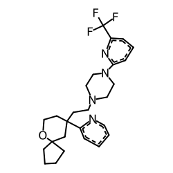 FC(F)(F)c1cccc(N2CCN(CCC3(c4ccccn4)CCOC4(CCCC4)C3)CC2)n1